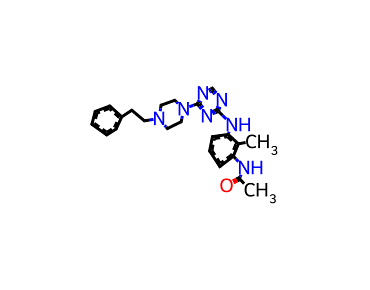 CC(=O)Nc1cccc(Nc2ncnc(N3CCN(CCc4ccccc4)CC3)n2)c1C